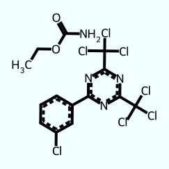 CCOC(N)=O.Clc1cccc(-c2nc(C(Cl)(Cl)Cl)nc(C(Cl)(Cl)Cl)n2)c1